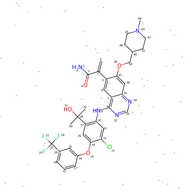 C=C(C(N)=O)c1cc2c(Nc3cc(Cl)c(Oc4cccc(C(F)(F)F)c4)cc3C(C)(C)O)ncnc2cc1OCC1CCN(C)CC1